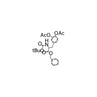 CC(=O)Oc1ccc(CC(NC(=O)OC(C)(C)C)C(=O)OCc2ccccc2)cc1OC(C)=O